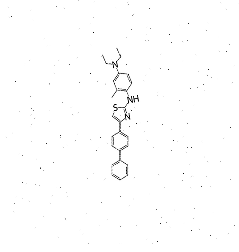 CCN(CC)c1ccc(Nc2nc(-c3ccc(-c4ccccc4)cc3)cs2)c(C)c1